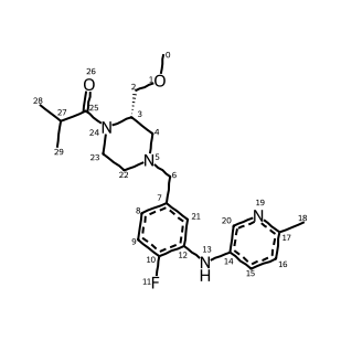 COC[C@@H]1CN(Cc2ccc(F)c(Nc3ccc(C)nc3)c2)CCN1C(=O)C(C)C